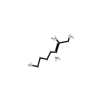 CCC(N)=CCCCCO.N